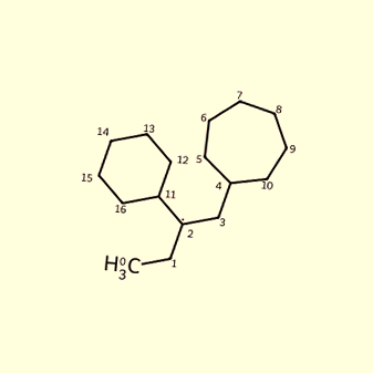 CC[C](CC1CCCCCC1)C1CCCCC1